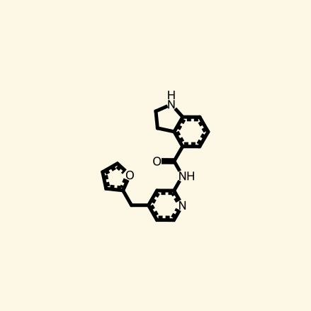 O=C(Nc1cc(Cc2ccco2)ccn1)c1cccc2c1CCN2